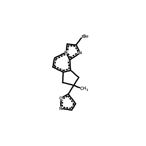 CC(C)(C)c1cn2ccc3c(c2n1)CC(C)(c1ccno1)C3